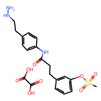 CS(=O)(=O)Oc1cccc(CCC(=O)Nc2ccc(CCNN)cc2)c1.O=C(O)C(=O)O